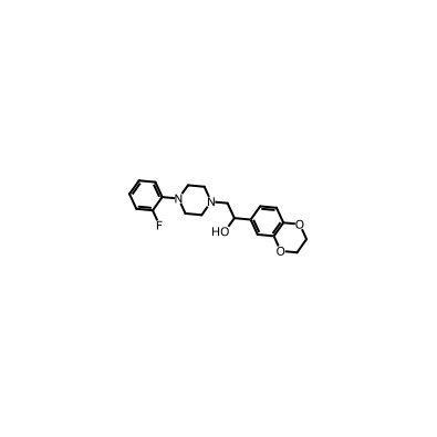 OC(CN1CCN(c2ccccc2F)CC1)c1ccc2c(c1)OCCO2